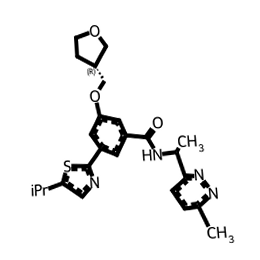 Cc1ccc(C(C)NC(=O)c2cc(OC[C@@H]3CCOC3)cc(-c3ncc(C(C)C)s3)c2)nn1